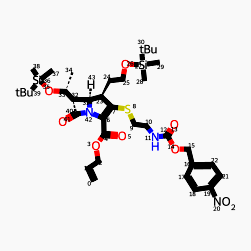 C=CCOC(=O)C1=C(SCCNC(=O)OCc2ccc([N+](=O)[O-])cc2)[C@H](CCO[Si](C)(C)C(C)(C)C)[C@@H]2[C@@H]([C@@H](C)O[Si](C)(C)C(C)(C)C)C(=O)N12